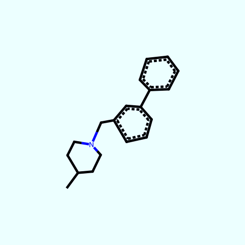 CC1CCN(Cc2cccc(-c3ccccc3)c2)CC1